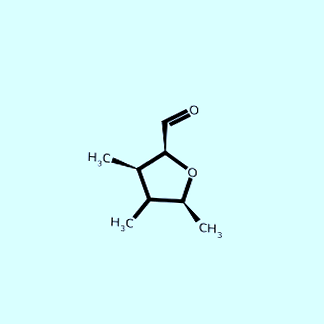 CC1[C@H](C)O[C@H](C=O)[C@@H]1C